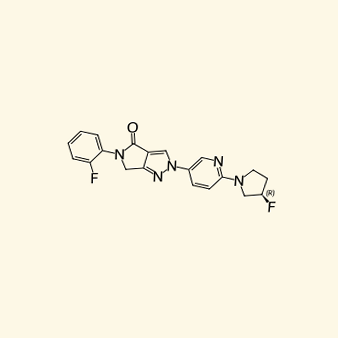 O=C1c2cn(-c3ccc(N4CC[C@@H](F)C4)nc3)nc2CN1c1ccccc1F